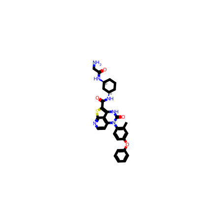 Cc1cc(Oc2ccccc2)ccc1N1C(=O)Nc2c(C(=O)N[C@H]3CCC[C@H](NC(=O)CN)C3)sc3nccc1c23